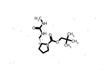 CNC(=O)NC[C@H]1CCCN1C(=O)OCC(C)(C)C